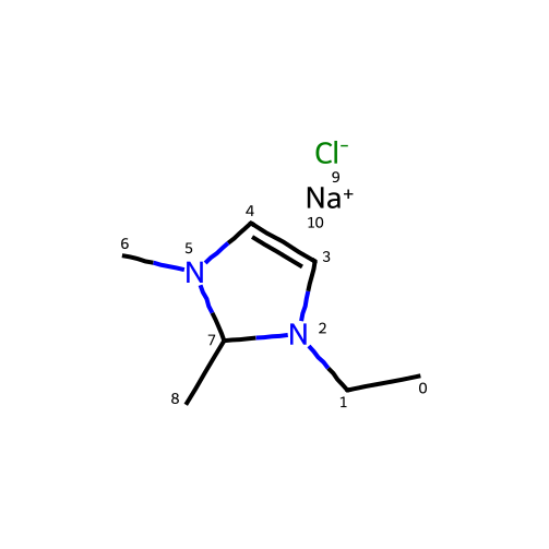 CCN1C=CN(C)C1C.[Cl-].[Na+]